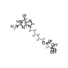 Nc1nc2c(ncn2CCCCCCO/[P+]([O-])=C/P(=O)(O)O)c(=O)[nH]1